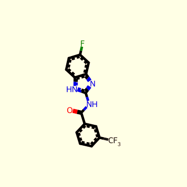 O=C(Nc1nc2cc(F)ccc2[nH]1)c1cccc(C(F)(F)F)c1